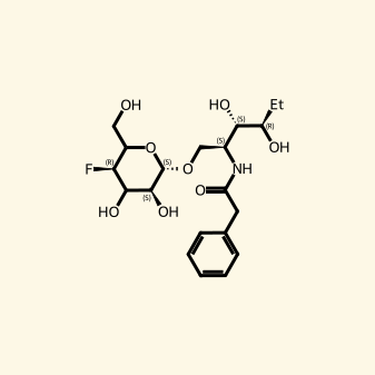 CC[C@@H](O)[C@@H](O)[C@H](CO[C@H]1OC(CO)[C@H](F)C(O)[C@@H]1O)NC(=O)Cc1ccccc1